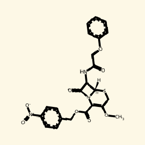 COC1=C(C(=O)OCc2ccc([N+](=O)[O-])cc2)N2C(=O)C(NC(=O)COc3ccccc3)[C@@H]2SC1